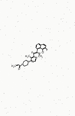 C=CC(=O)N1CCN(c2ncnc(/C(F)=C(\N=C)c3cccc4ccc(F)c(Cl)c34)c2C)CC1